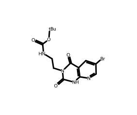 CC(C)(C)OC(=O)NCCn1c(=O)[nH]c2ncc(Br)cc2c1=O